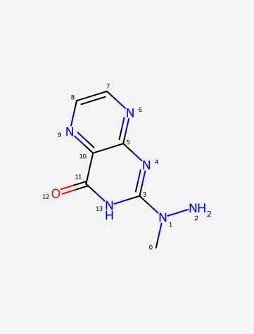 CN(N)c1nc2nccnc2c(=O)[nH]1